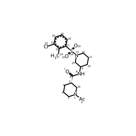 CC(=O)N1CCC[C@H](C(=O)NC2CCCN(S(=O)(=O)c3cccc(Cl)c3C)C2)C1